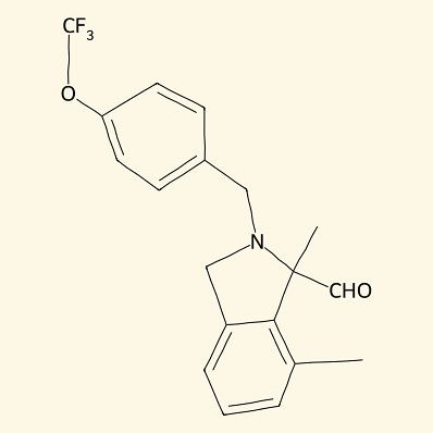 Cc1cccc2c1C(C)(C=O)N(Cc1ccc(OC(F)(F)F)cc1)C2